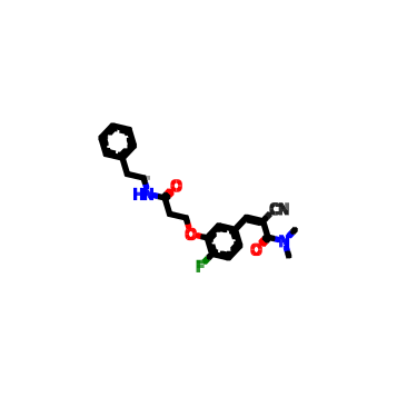 CN(C)C(=O)C(C#N)=Cc1ccc(F)c(OCCC(=O)N[CH]Cc2ccccc2)c1